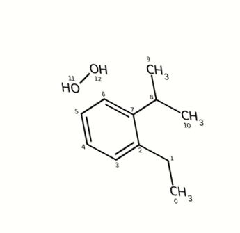 CCc1ccccc1C(C)C.OO